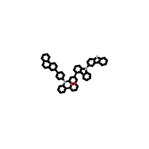 c1ccc(-c2ccccc2N(c2ccc(-c3ccc4c(ccc5ccccc54)c3)cc2)c2cccc(-c3cccc4c3c3ccccc3n4-c3ccc4sc5ccccc5c4c3)c2)cc1